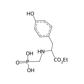 CCOC(=O)C(Cc1ccc(O)cc1)NCP(=O)(O)O